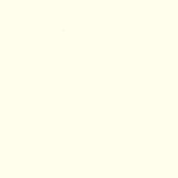 CCCCOc1ccc(-c2[c]ccs2)cc1